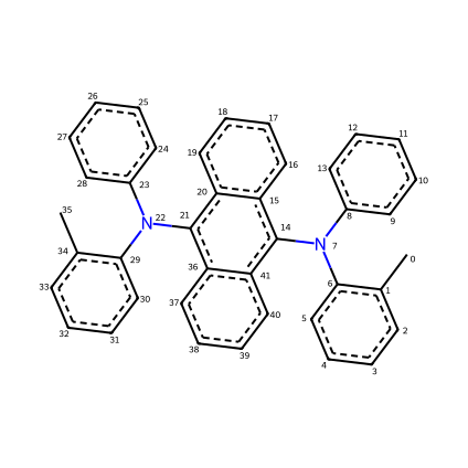 Cc1ccccc1N(c1ccccc1)c1c2ccccc2c(N(c2ccccc2)c2ccccc2C)c2ccccc12